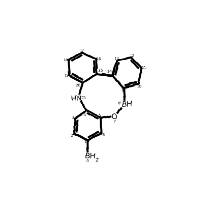 Bc1ccc2c(c1)OBc1ccccc1-c1ccccc1N2